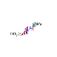 COc1c(F)cc(C(=O)NCCNC(=O)c2ccc(O[C@H]3CC[C@@H](C(=O)O)CC3)cc2)cc1F